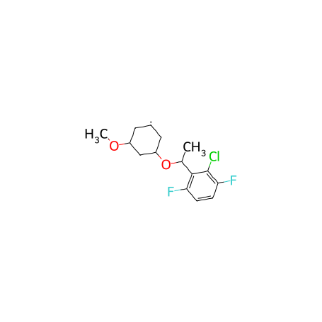 COC1C[CH]CC(OC(C)c2c(F)ccc(F)c2Cl)C1